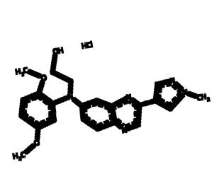 COc1ccc(OC)c(N(CCO)c2ccc3ncc(-c4cnn(C)c4)nc3c2)c1.Cl